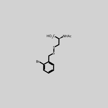 CC(=O)N[C@@H](CSSCc1ccccc1Br)C(=O)O